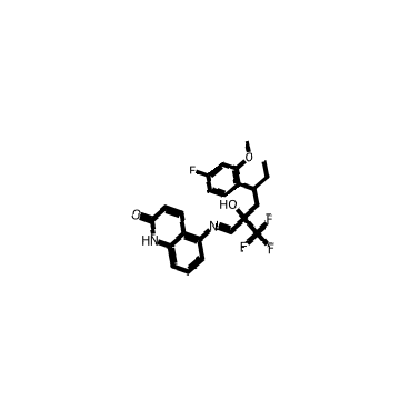 CCC(CC(O)(C=Nc1cccc2[nH]c(=O)ccc12)C(F)(F)F)c1ccc(F)cc1OC